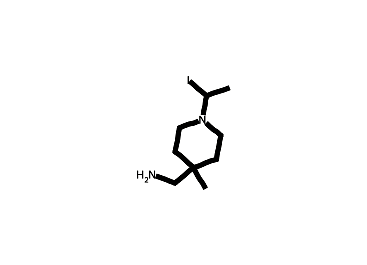 CC(I)N1CCC(C)(CN)CC1